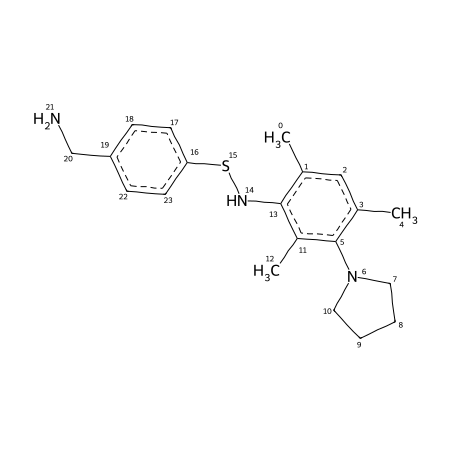 Cc1cc(C)c(N2CCCC2)c(C)c1NSc1ccc(CN)cc1